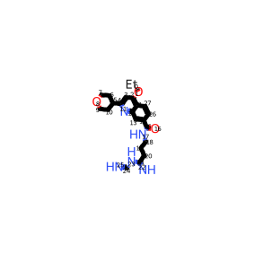 CCOc1cc(C2CCOCC2)nc2cc(C(=O)NCCCC(=N)NC=N)ccc12